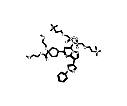 COCCOC(=O)C1(OCCOC)CCC(c2cc(N(S(=O)(=O)COCC[Si](C)(C)C)S(=O)(=O)COCC[Si](C)(C)C)n3ncc(-c4cnn(-c5ccccc5)c4)c3n2)CC1